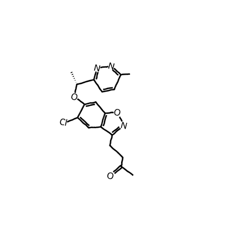 CC(=O)CCc1noc2cc(O[C@H](C)c3ccc(C)nn3)c(Cl)cc12